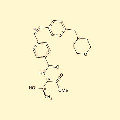 COC(=O)[C@@H](NC(=O)c1ccc(/C=C\c2ccc(CN3CCOCC3)cc2)cc1)[C@@H](C)O